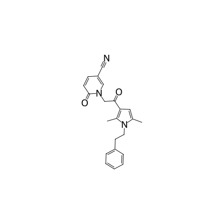 Cc1cc(C(=O)Cn2cc(C#N)ccc2=O)c(C)n1CCc1ccccc1